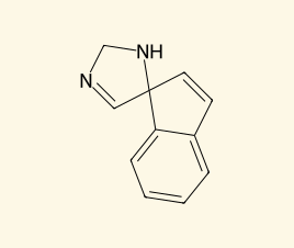 C1=CC2(C=NCN2)c2ccccc21